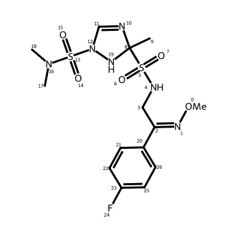 CO/N=C(\CNS(=O)(=O)C1(C)N=CN(S(=O)(=O)N(C)C)N1)c1ccc(F)cc1